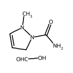 CN1C=CCN1C(N)=O.O=CO